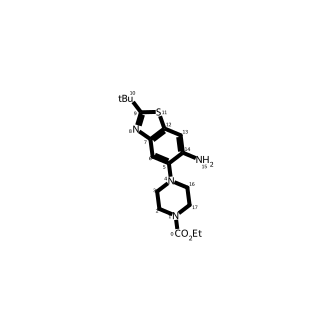 CCOC(=O)N1CCN(c2cc3nc(C(C)(C)C)sc3cc2N)CC1